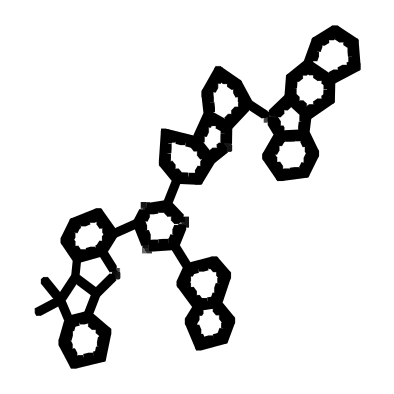 CC1(C)c2ccccc2C2Sc3c(-c4nc(-c5ccc6ccccc6c5)nc(-c5ccc6c(c5)sc5c(-n7c8ccccc8c8cc9ccccc9cc87)cccc56)n4)cccc3C21